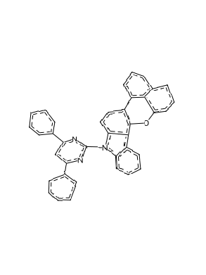 c1ccc(-c2cc(-c3ccccc3)nc(-n3c4ccccc4c4c5c(ccc43)-c3cccc4cccc(c34)O5)n2)cc1